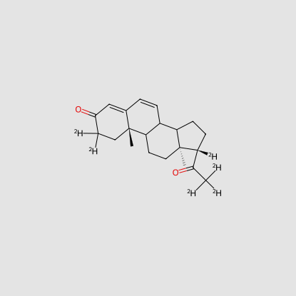 [2H]C([2H])([2H])C(=O)[C@@]1([2H])CCC2C3C=CC4=CC(=O)C([2H])([2H])C[C@@]4(C)C3CC[C@@]21C